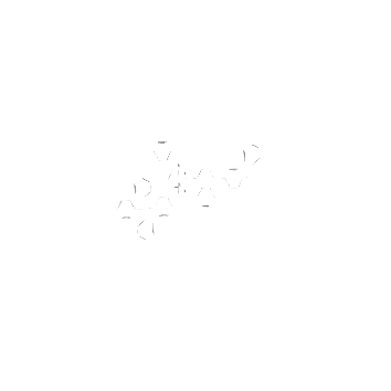 CC1(C)c2ccccc2-c2cc(-c3ccc(-c4nc(-c5ccccc5)cc(-c5ccc6c(c5)C(c5ccccc5)(c5ccccc5)c5ccccc5-6)n4)c4ccccc34)ccc21